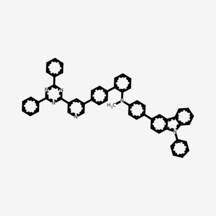 CN(c1ccc(-c2ccc3c(c2)c2ccccc2n3-c2ccccc2)cc1)c1ccccc1-c1ccc(-c2cncc(-c3nc(-c4ccccc4)nc(-c4ccccc4)n3)c2)cc1